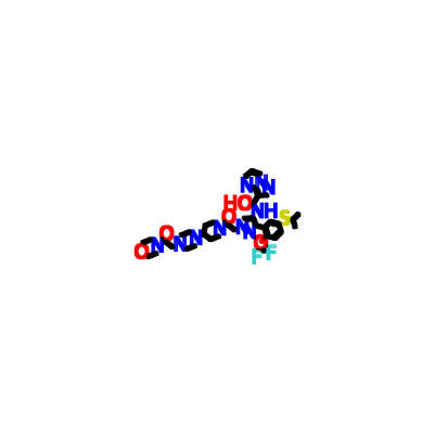 CC(C)Sc1ccc(OC(F)F)c(-c2nn(CC(=O)N3CCC(N4CCN(CC(=O)N5CCOCC5)CC4)CC3)cc2NC(O)c2cnn3cccnc23)c1